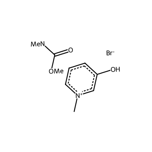 CNC(=O)OC.C[n+]1cccc(O)c1.[Br-]